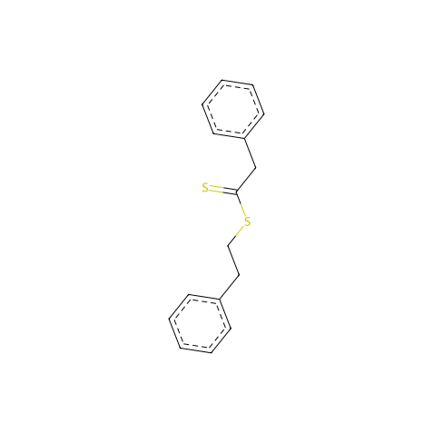 S=C(Cc1ccccc1)SCCc1ccccc1